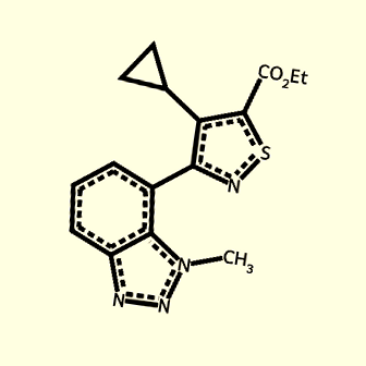 CCOC(=O)c1snc(-c2cccc3nnn(C)c23)c1C1CC1